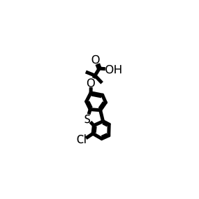 CC(C)(Oc1ccc2c(c1)sc1c(Cl)cccc12)C(=O)O